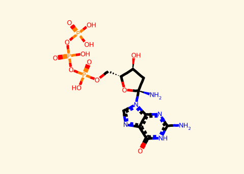 Nc1nc2c(ncn2[C@@]2(N)C[C@H](O)[C@@H](COP(=O)(O)OP(=O)(O)OP(=O)(O)O)O2)c(=O)[nH]1